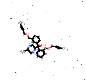 CC#CCOCc1cccc(C(O)(c2cnc(C)cn2)c2ccccc2COCC#CC)c1